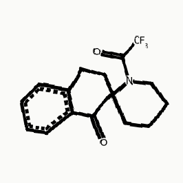 O=C(N1CCCCC12CCc1ccccc1C2=O)C(F)(F)F